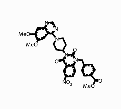 COC(=O)c1ccc(Cn2c(=O)n(C3CCN(c4ncnc5cc(OC)c(OC)cc45)CC3)c(=O)c3cc([N+](=O)[O-])ccc32)cc1